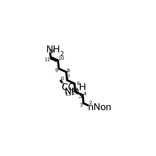 CC(=O)O.CCCCCCCCCCCCCCCCC=CN.N